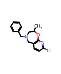 CC1CN(Cc2ccccc2)Cc2ccc(Cl)nc2O1